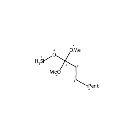 CCCCCCCC(OC)(OC)O[SiH3]